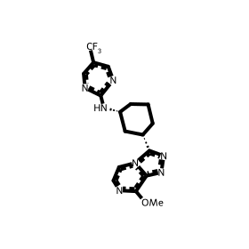 COc1nccn2c([C@H]3CCC[C@@H](Nc4ncc(C(F)(F)F)cn4)C3)nnc12